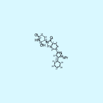 CC(C)n1nc(-c2ccc3c(c2)CN(C2CCC(=O)NC2O)C3=O)cc1-c1ccccc1